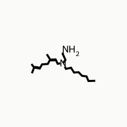 CCCCCCCCN(CC=C(C)CCC=C(C)C)CCN